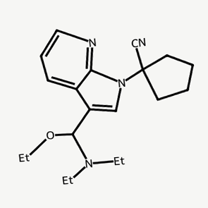 CCOC(c1cn(C2(C#N)CCCC2)c2ncccc12)N(CC)CC